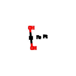 [Fe].[OH][Ni][OH].[Pt]